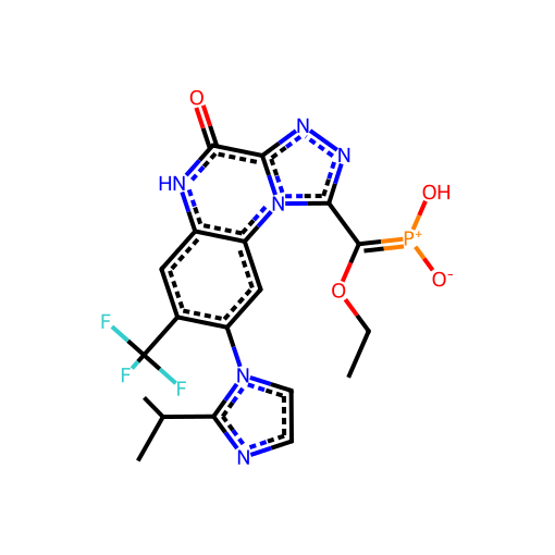 CCO/C(c1nnc2c(=O)[nH]c3cc(C(F)(F)F)c(-n4ccnc4C(C)C)cc3n12)=[P+](\[O-])O